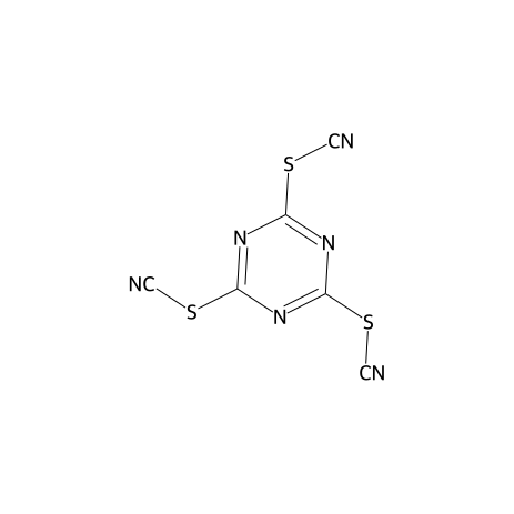 N#CSc1nc(SC#N)nc(SC#N)n1